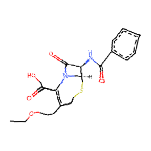 CCOCC1=C(C(=O)O)N2C(=O)[C@@H](NC(=O)c3ccccc3)[C@H]2SC1